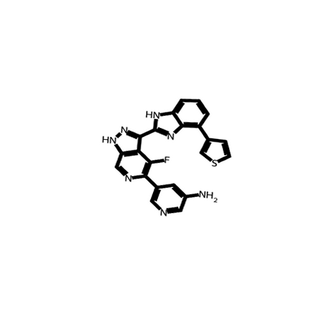 Nc1cncc(-c2ncc3[nH]nc(-c4nc5c(-c6ccsc6)cccc5[nH]4)c3c2F)c1